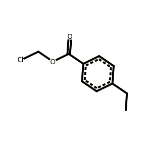 CCc1ccc(C(=O)OCCl)cc1